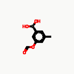 Cc1cc(OC=O)cc(B(O)O)c1